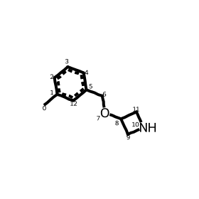 Cc1cccc(COC2CNC2)c1